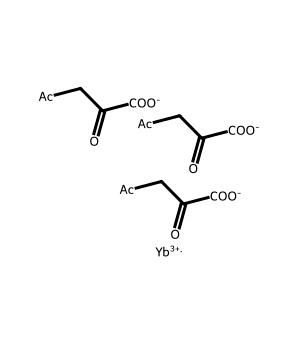 CC(=O)CC(=O)C(=O)[O-].CC(=O)CC(=O)C(=O)[O-].CC(=O)CC(=O)C(=O)[O-].[Yb+3]